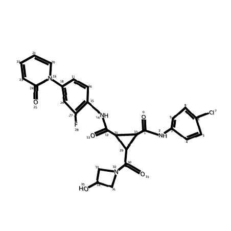 O=C(Nc1ccc(Cl)cc1)C1C(C(=O)Nc2ccc(-n3ccccc3=O)cc2F)C1C(=O)N1CC(O)C1